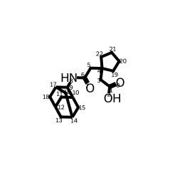 O=C(O)CC1(CC(=O)NC2C3CC4CC(C3)CC2C4)CCCC1